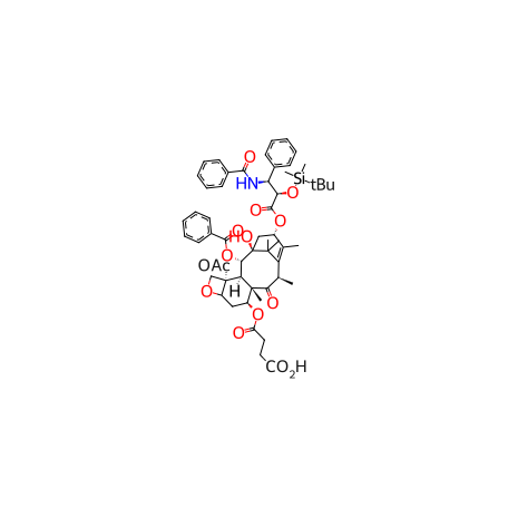 CC(=O)O[C@@]12COC1C[C@H](OC(=O)CCC(=O)O)[C@@]1(C)C(=O)[C@H](C)C3=C(C)[C@@H](OC(=O)[C@H](O[Si](C)(C)C(C)(C)C)[C@@H](NC(=O)c4ccccc4)c4ccccc4)C[C@@](O)([C@@H](OC(=O)c4ccccc4)[C@@H]12)C3(C)C